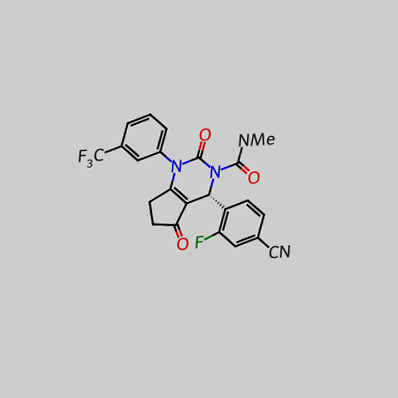 CNC(=O)N1C(=O)N(c2cccc(C(F)(F)F)c2)C2=C(C(=O)CC2)[C@H]1c1ccc(C#N)cc1F